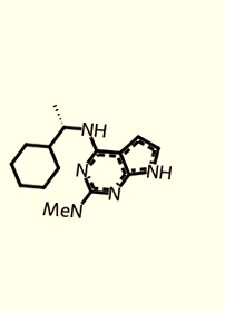 CNc1nc(N[C@@H](C)C2CCCCC2)c2cc[nH]c2n1